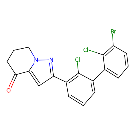 O=C1CCCn2nc(-c3cccc(-c4cccc(Br)c4Cl)c3Cl)cc21